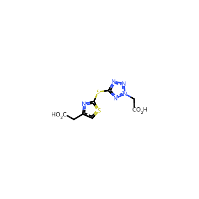 O=C(O)Cc1csc(Sc2nnn(CC(=O)O)n2)n1